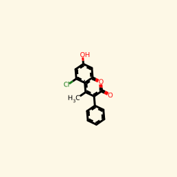 Cc1c(-c2ccccc2)c(=O)oc2cc(O)cc(Cl)c12